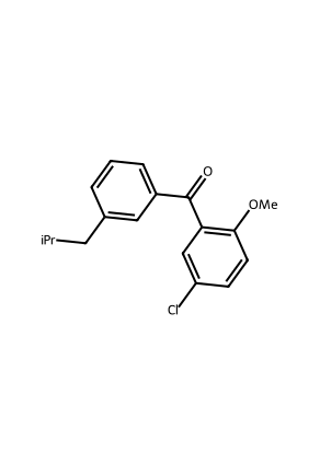 COc1ccc(Cl)cc1C(=O)c1cccc(CC(C)C)c1